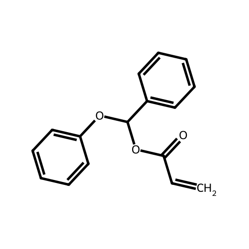 C=CC(=O)OC(Oc1ccccc1)c1ccccc1